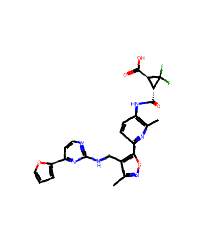 Cc1nc(-c2onc(C)c2CNc2nccc(-c3ccco3)n2)ccc1NC(=O)[C@@H]1[C@@H](C(=O)O)C1(F)F